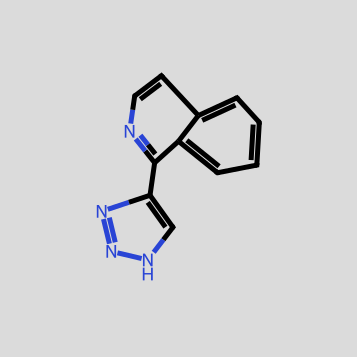 c1ccc2c(-c3c[nH]nn3)nccc2c1